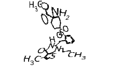 CCCCN1c2scc(C)c2C(=O)NC1Cc1ccccc1S(=O)(=O)C1CCC(N)(C(=O)OC)CC1